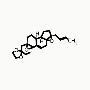 C/C=C/C[C@]12CC[C@H]3[C@@H]4CC[C@@]56CC7(CC[C@@]5(O6)C4=CC[C@@]31O2)OCCO7